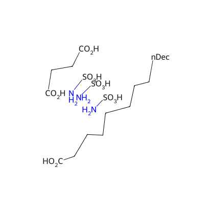 CCCCCCCCCCCCCCCCCC(=O)O.NS(=O)(=O)O.NS(=O)(=O)O.NS(=O)(=O)O.O=C(O)CCC(=O)O